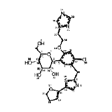 OC[C@H]1O[C@@H](c2cc(Cc3ncc(C4=CCCO4)s3)c(Cl)cc2OCCn2cncn2)[C@H](O)[C@@H](O)[C@@H]1O